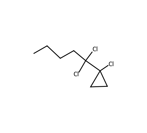 CCCCC(Cl)(Cl)C1(Cl)CC1